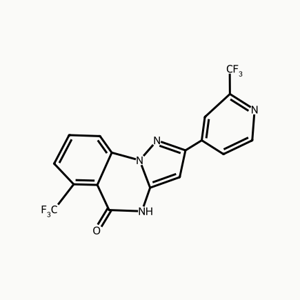 O=c1[nH]c2cc(-c3ccnc(C(F)(F)F)c3)nn2c2cccc(C(F)(F)F)c12